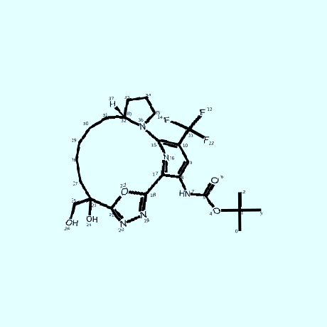 CC(C)(C)OC(=O)Nc1cc(C(F)(F)F)c2nc1-c1nnc(o1)C(O)(CO)CCCCC[C@@H]1CCCN21